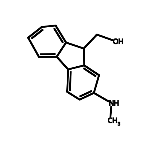 CNc1ccc2c(c1)C(CO)c1ccccc1-2